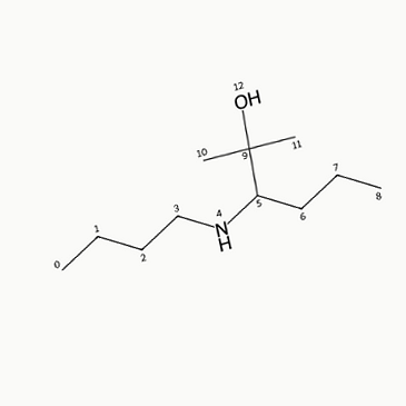 CCCCNC(CCC)C(C)(C)O